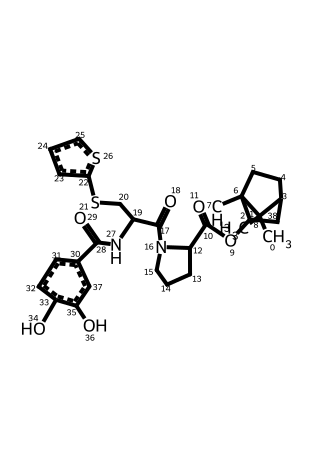 CC1(C)C2CCC1(C)C(OC(=O)C1CCCN1C(=O)C(CSc1cccs1)NC(=O)c1ccc(O)c(O)c1)C2